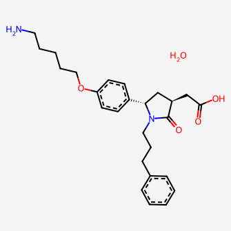 NCCCCCOc1ccc([C@@H]2C[C@@H](CC(=O)O)C(=O)N2CCCc2ccccc2)cc1.O